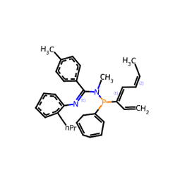 C=C/C(=C\C=C/C)P(C1=CC=CC=CC1)N(C)/C(=N/c1ccccc1CCC)c1ccc(C)cc1